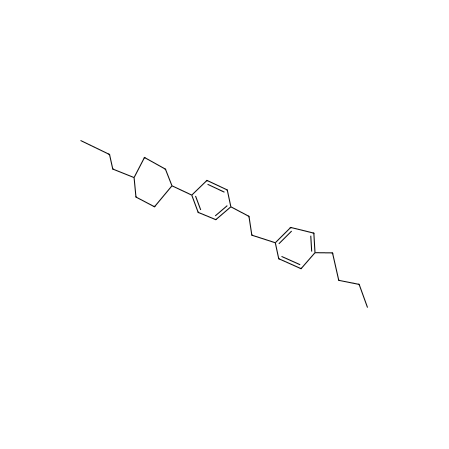 CCCCc1ccc(CCc2ccc(C3CCC(CCC)CC3)cc2)cc1